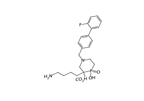 NCCCCC1(C(=O)O)CN(Cc2ccc(-c3ccccc3F)cc2)CCP1(=O)O